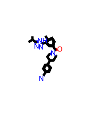 Cc1ccc(C(=O)N2CCC(c3ccc(C#N)cc3)CC2)cc1-c1nnc(C(C)C)[nH]1